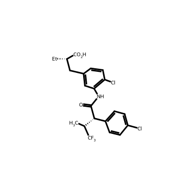 CC[C@@H](Cc1ccc(Cl)c(NC(=O)[C@H](c2ccc(Cl)cc2)C(C)C(F)(F)F)c1)C(=O)O